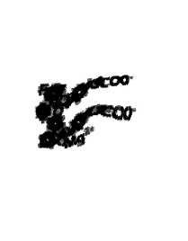 O=C([O-])COCC1CCC(COC(=O)N(c2ccccc2)c2cccc(F)c2)CC1.O=C([O-])COCC1CCC(COC(=O)N(c2ccccc2)c2cccc(F)c2)CC1.[Mg+2]